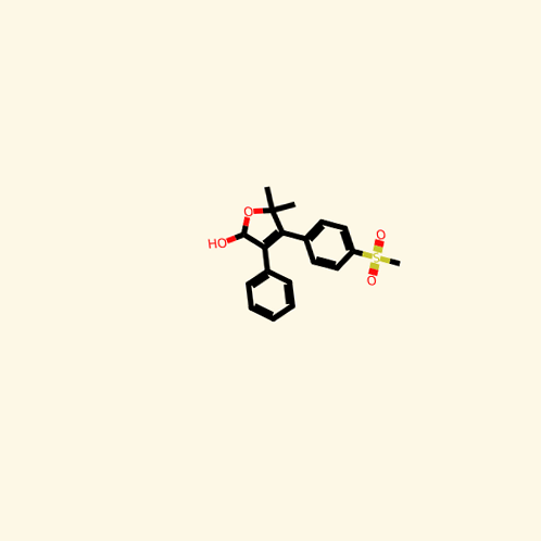 CC1(C)OC(O)C(c2ccccc2)=C1c1ccc(S(C)(=O)=O)cc1